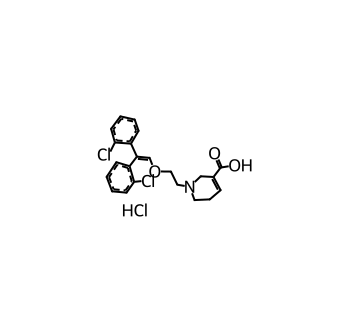 Cl.O=C(O)C1=CCCN(CCOC=C(c2ccccc2Cl)c2ccccc2Cl)C1